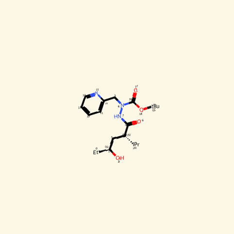 CC[C@H](O)C[C@H](C(=O)NN(Cc1ccccn1)C(=O)OC(C)(C)C)C(C)C